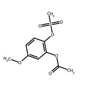 COc1ccc(OS(C)(=O)=O)c(OC(C)=O)c1